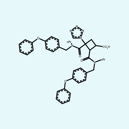 CCCN(Cc1ccc(Oc2ccccc2)cc1)C(=O)C1C(C(=O)O)CC1(C(=O)N(CCC)Cc1ccc(Oc2ccccc2)cc1)n1cnnn1